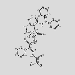 C=CC1=C(C(=O)OC(c2ccccc2)c2ccccc2)N2C(=O)[C@@H](NC(=O)C(=NOC(=O)C(Cl)Cl)c3ccccc3)[C@@H]2SC1